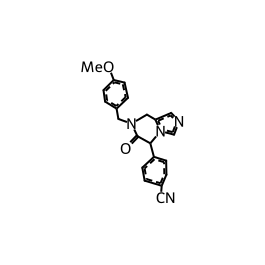 COc1ccc(CN2Cc3cncn3C(c3ccc(C#N)cc3)C2=O)cc1